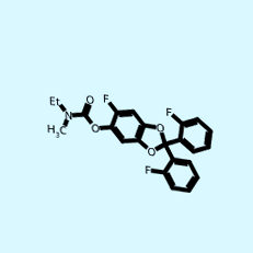 CCN(C)C(=O)Oc1cc2c(cc1F)OC(c1ccccc1F)(c1ccccc1F)O2